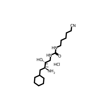 Cl.N#CCCCCCNC(=O)NC[C@@H](O)[C@@H](N)CC1CCCCC1